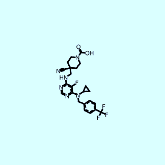 N#CC1(CNc2ncnc(N(Cc3ccc(C(F)(F)F)cc3)C3CC3)c2F)CCN(C(=O)O)CC1